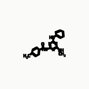 CNc1nc(NC(=O)c2ccc(C)cc2)nc(Nc2ccccc2)n1